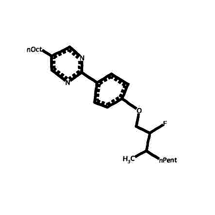 CCCCCCCCc1cnc(-c2ccc(OCC(F)C(C)CCCCC)cc2)nc1